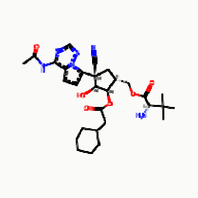 CC(=O)Nc1ncnn2c([C@]3(C#N)C[C@H](COC(=O)[C@@H](N)C(C)(C)C)[C@@H](OC(=O)CC4CCCCC4)[C@H]3O)ccc12